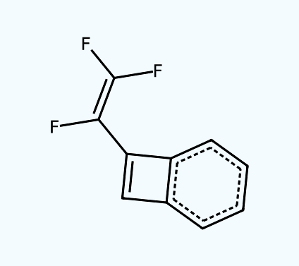 FC(F)=C(F)C1=Cc2ccccc21